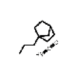 CCCC12CCC(CC1)C2.N=C=O